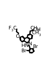 CC(C)(O)Cc1ccc2c(c1)c1cc(OCCCC(F)(F)F)ccc1c1[nH]c(-c3c(Br)cccc3Br)nc21